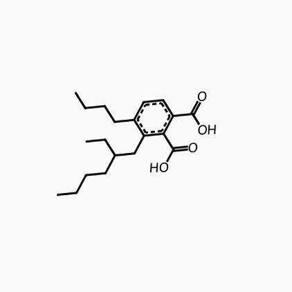 CCCCc1ccc(C(=O)O)c(C(=O)O)c1CC(CC)CCCC